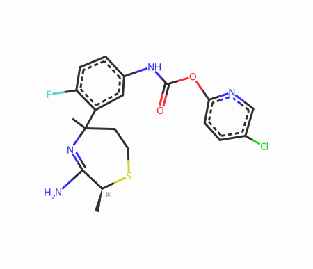 C[C@@H]1SCCC(C)(c2cc(NC(=O)Oc3ccc(Cl)cn3)ccc2F)N=C1N